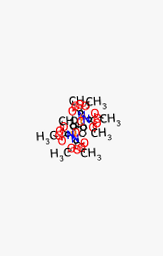 CCOC(=O)c1cn(P(Oc2ccc3c(c2-c2c(OP(n4cc(C(=O)OCC)c(C(=O)OCC)c4)n4cc(C(=O)OCC)c(C(=O)OCC)c4)ccc4c2CCCC4)CCCC3)n2cc(C(=O)OCC)c(C(=O)OCC)c2)cc1C(=O)OCC